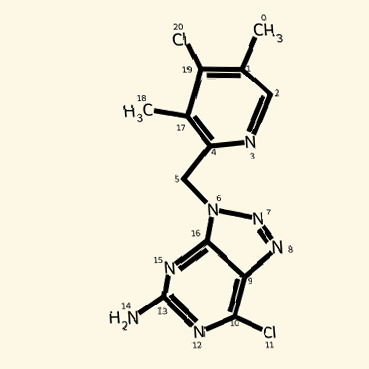 Cc1cnc(Cn2nnc3c(Cl)nc(N)nc32)c(C)c1Cl